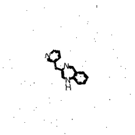 C1=NC(Cc2cccnc2)=CNc2ccccc21